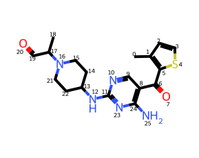 Cc1ccsc1C(=O)c1cnc(NC2CCN(C(C)C=O)CC2)nc1N